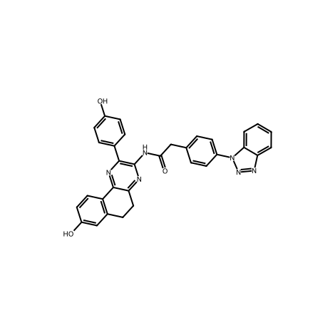 O=C(Cc1ccc(-n2nnc3ccccc32)cc1)Nc1nc2c(nc1-c1ccc(O)cc1)-c1ccc(O)cc1CC2